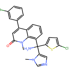 Cn1cncc1C(N)(c1ccc(Cl)s1)c1cccc2c(-c3cccc(Cl)c3)cc(=O)n(C)c12